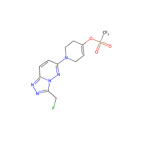 O=S(=O)(OC1=CCN(c2ccc3nnc(CF)n3n2)CC1)C(F)(F)F